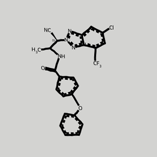 CC(NC(=O)c1ccc(Oc2ccccc2)cc1)[C@@H](C#N)n1nc2cc(Cl)cc(C(F)(F)F)c2n1